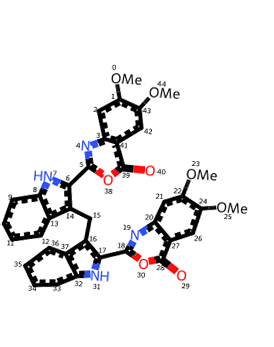 COc1cc2nc(-c3[nH]c4ccccc4c3Cc3c(-c4nc5cc(OC)c(OC)cc5c(=O)o4)[nH]c4ccccc34)oc(=O)c2cc1OC